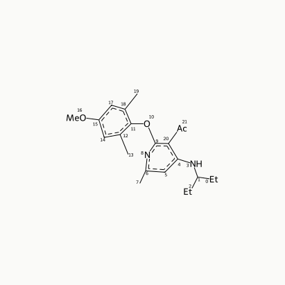 CCC(CC)Nc1cc(C)nc(Oc2c(C)cc(OC)cc2C)c1C(C)=O